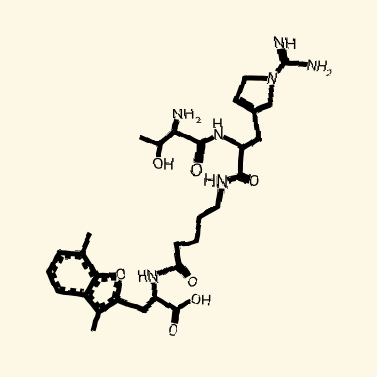 Cc1c(CC(NC(=O)CCCCNC(=O)C(CC2=CCN(C(=N)N)C2)NC(=O)C(N)C(C)O)C(=O)O)oc2c(C)cccc12